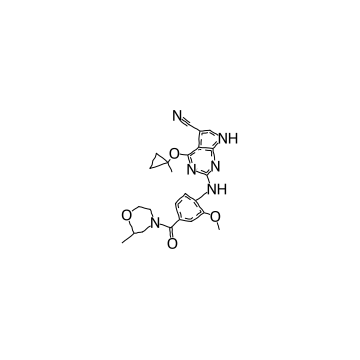 COc1cc(C(=O)N2CCOC(C)C2)ccc1Nc1nc(OC2(C)CC2)c2c(C#N)c[nH]c2n1